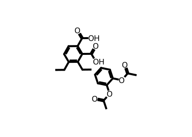 CC(=O)Oc1ccccc1OC(C)=O.CCc1ccc(C(=O)O)c(C(=O)O)c1CC